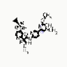 C=N/C=C(\N=C(/C)OCC)c1ccc(NC(=O)[C@@](F)(CC)c2cc(NS(=O)(=O)C3CC3)ccn2)nc1